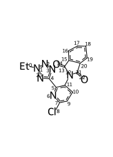 CCn1nnc(-c2nc(Cl)ccc2N2C(=O)c3ccccc3C2=O)n1